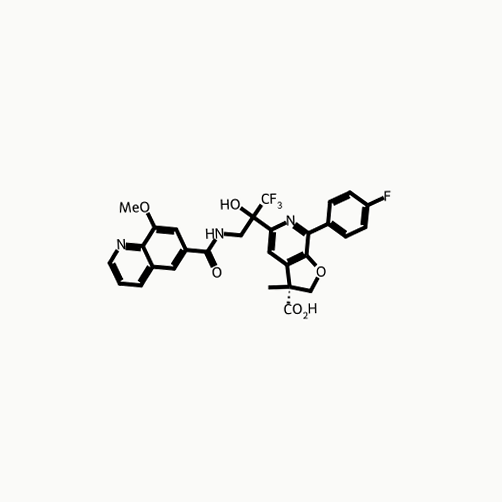 COc1cc(C(=O)NCC(O)(c2cc3c(c(-c4ccc(F)cc4)n2)OC[C@]3(C)C(=O)O)C(F)(F)F)cc2cccnc12